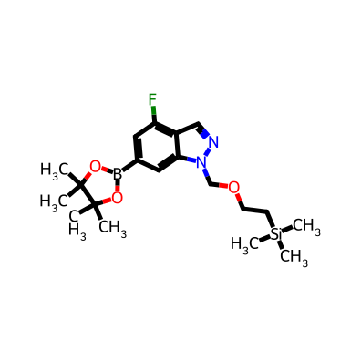 CC1(C)OB(c2cc(F)c3cnn(COCC[Si](C)(C)C)c3c2)OC1(C)C